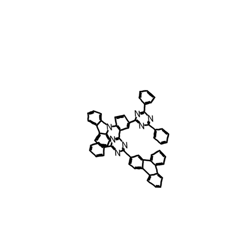 c1ccc(-c2nc(-c3ccccc3)nc(-c3ccc(-n4c5ccccc5c5ccccc54)c(-c4nc(-c5ccccc5)nc(-c5ccc6c7ccccc7c7ccccc7c6c5)n4)c3)n2)cc1